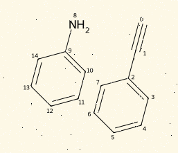 C#Cc1ccccc1.Nc1ccccc1